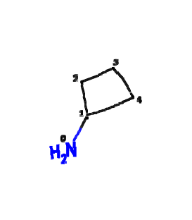 N[C]1CCC1